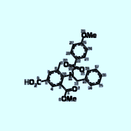 COC(=O)c1cc(C(=O)O)cc(C)c1N(Cc1ccccc1)S(=O)(=O)c1ccc(OC)cc1